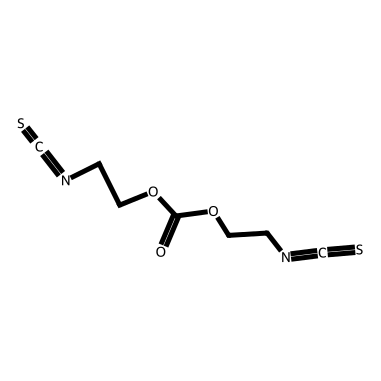 O=C(OCCN=C=S)OCCN=C=S